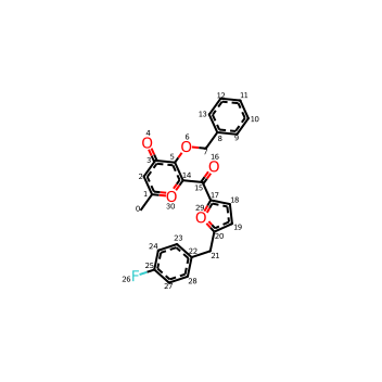 Cc1cc(=O)c(OCc2ccccc2)c(C(=O)c2ccc(Cc3ccc(F)cc3)o2)o1